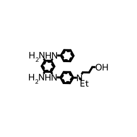 CCN(CCCO)c1ccc(Nc2cc(Nc3ccccc3)c(N)cc2N)cc1